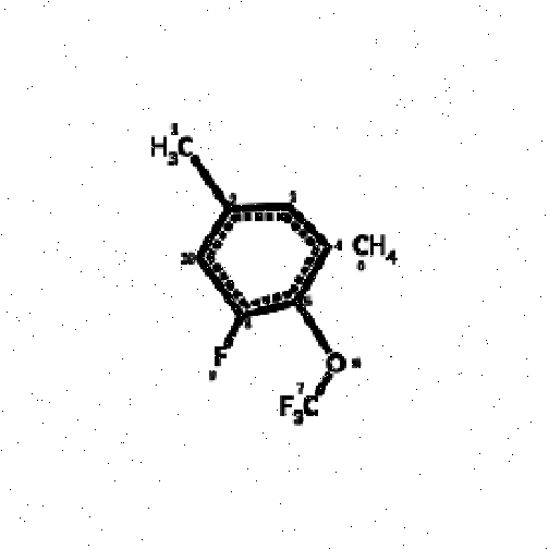 C.Cc1ccc(OC(F)(F)F)c(F)c1